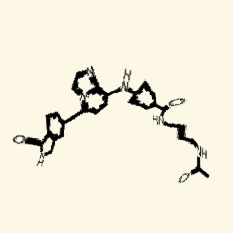 CC(=O)NCCNC(=O)c1ccc(Nc2ccc(-c3ccc4c(c3)CNC4=O)n3ccnc23)cc1